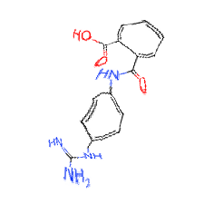 N=C(N)Nc1ccc(NC(=O)c2ccccc2C(=O)O)cc1